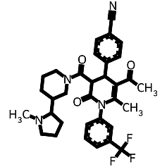 CC(=O)C1=C(C)N(c2cccc(C(F)(F)F)c2)C(=O)C(C(=O)N2CCCC(C3CCCN3C)C2)C1c1ccc(C#N)cc1